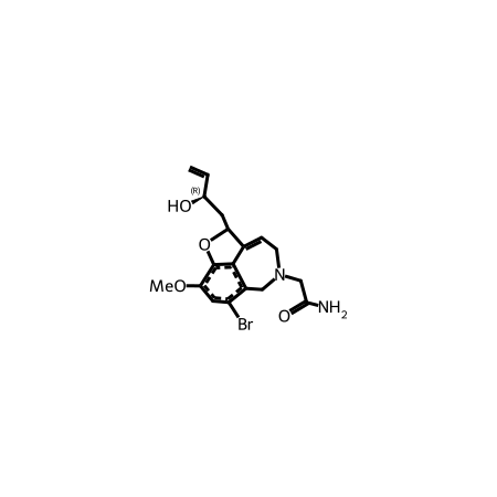 C=C[C@H](O)CC1Oc2c(OC)cc(Br)c3c2C1=CCN(CC(N)=O)C3